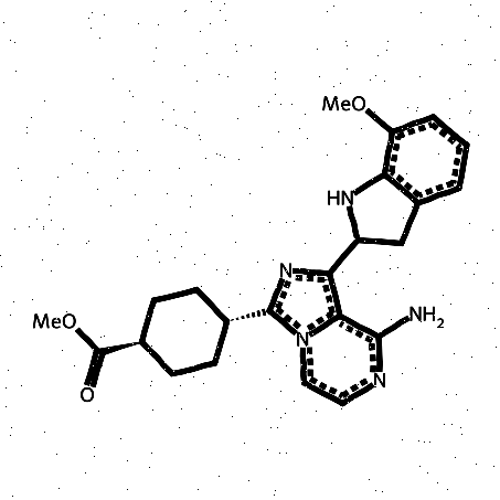 COc1cccc2c1NC(c1nc([C@H]3CC[C@H](C(=O)OC)CC3)n3ccnc(N)c13)C2